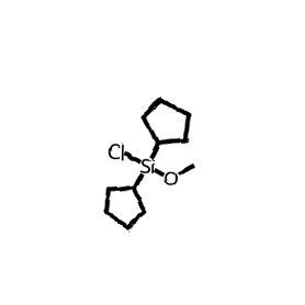 CO[Si](Cl)(C1CCCC1)C1CCCC1